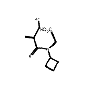 CC(=O)CC(C)C(=S)N(CC(=O)O)C1CCC1